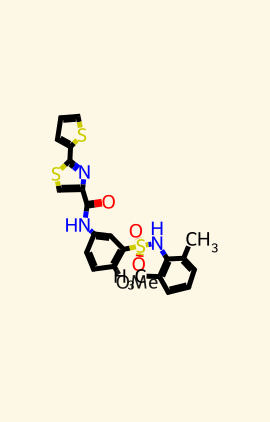 COc1ccc(NC(=O)c2csc(-c3cccs3)n2)cc1S(=O)(=O)Nc1c(C)cccc1C